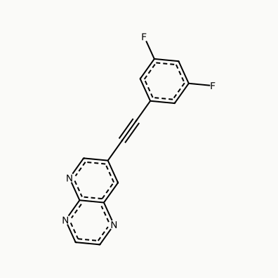 Fc1cc(F)cc(C#Cc2cnc3nccnc3c2)c1